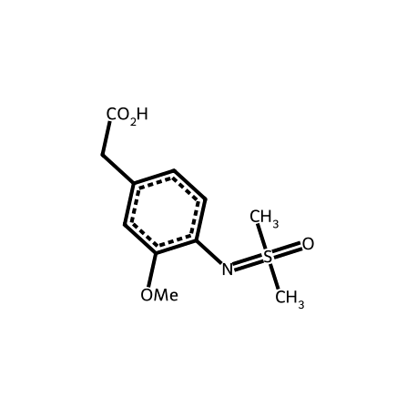 COc1cc(CC(=O)O)ccc1N=S(C)(C)=O